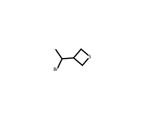 [CH2]C(Br)C1CSC1